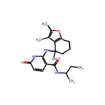 CCC(C)NC(=O)c1ccc(=O)[nH]c1NC1(C)CCCc2oc(C)c(C)c21